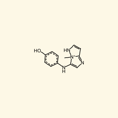 C[N+]12NC=CC1=NC=C2Nc1ccc(O)cc1